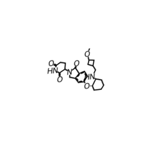 COC1CC(CN[C@H]2CCCC[C@@H]2Oc2ccc3c(c2)CN(C2CCC(=O)NC2=O)C3=O)C1